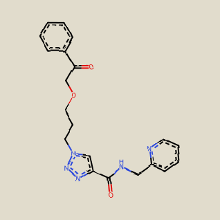 O=C(COCCCn1cc(C(=O)NCc2ccccn2)nn1)c1ccccc1